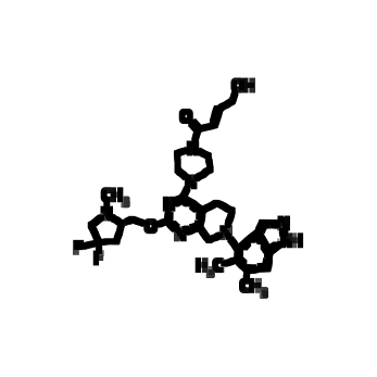 Cc1cc2[nH]ncc2c(N2CCc3c(nc(OC[C@H]4CC(F)(F)CN4C)nc3N3CCN(C(=O)C=CCO)CC3)C2)c1C